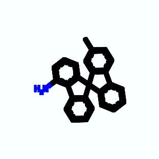 Cc1ccc2c(c1)C1(c3ccccc3-2)c2ccccc2-c2c(N)cccc21